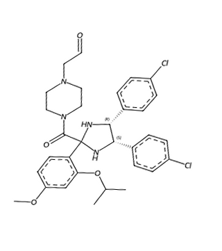 COc1ccc(C2(C(=O)N3CCN(CC=O)CC3)N[C@H](c3ccc(Cl)cc3)[C@H](c3ccc(Cl)cc3)N2)c(OC(C)C)c1